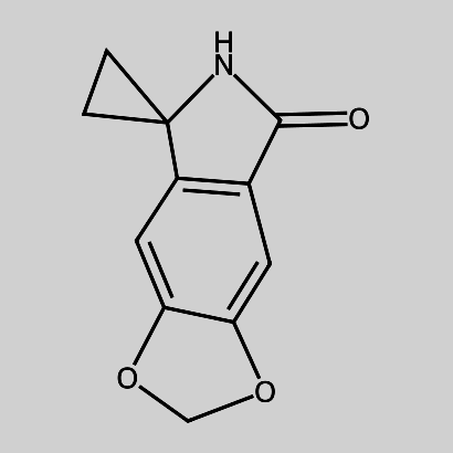 O=C1NC2(CC2)c2cc3c(cc21)OCO3